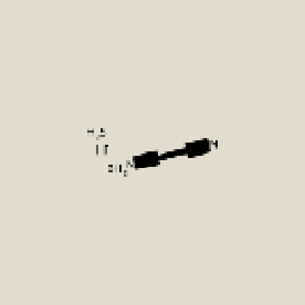 B.F.N#CC#N.S